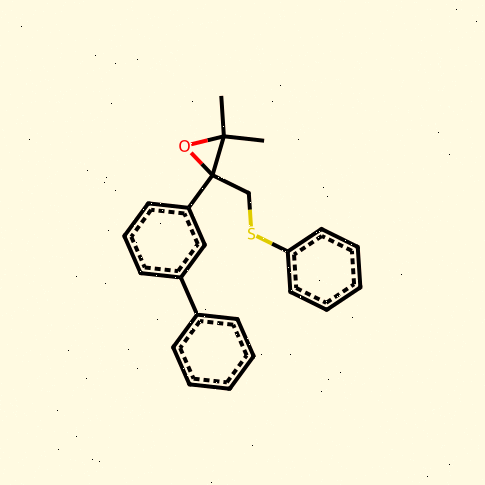 CC1(C)OC1(CSc1ccccc1)c1cccc(-c2ccccc2)c1